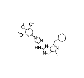 COc1cc(-n2cnc(Nc3ncc4c(C)nn(CC5CCCCC5)c4n3)c2)cc(OC)c1OC